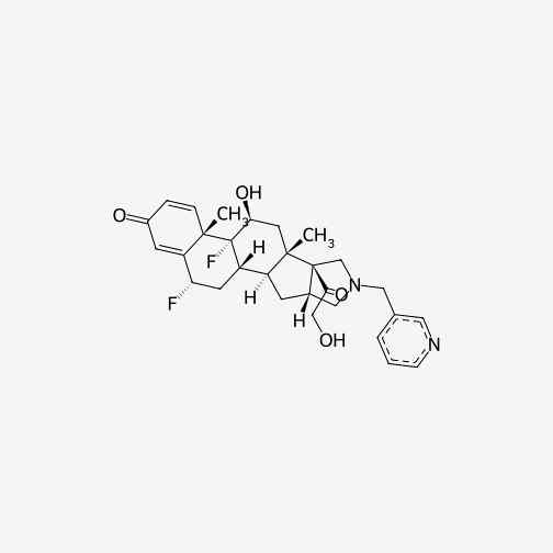 C[C@]12C=CC(=O)C=C1[C@@H](F)C[C@H]1[C@@H]3C[C@H]4CN(Cc5cccnc5)C[C@@]4(C(=O)CO)[C@@]3(C)C[C@H](O)[C@@]12F